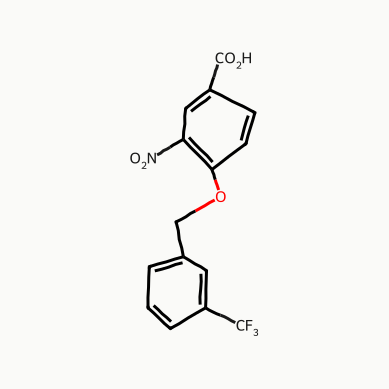 O=C(O)c1ccc(OCc2cccc(C(F)(F)F)c2)c([N+](=O)[O-])c1